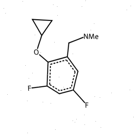 CNCc1cc(F)cc(F)c1OC1CC1